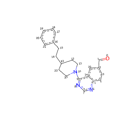 O=Cc1ccc2ncnc(N3CCC(CCc4ccccc4)CC3)c2c1